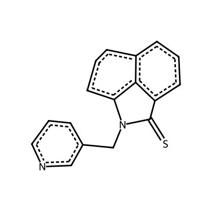 S=C1c2cccc3cccc(c23)N1Cc1cccnc1